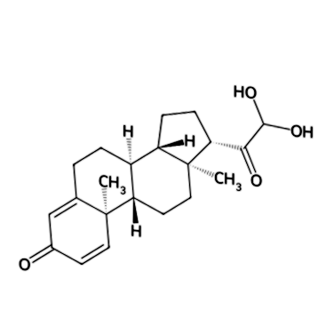 C[C@]12CC[C@H]3[C@@H](CCC4=CC(=O)C=C[C@@]43C)[C@@H]1CC[C@@H]2C(=O)C(O)O